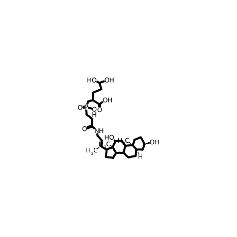 C[C@H](CCNC(=O)CCP(=O)(O)CC(CCC(O)O)C(=O)O)C1CCC2C3CC[C@@H]4C[C@H](O)CC[C@]4(C)C3C[C@H](O)[C@@]21C